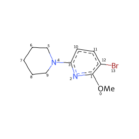 COc1nc(N2CCCCC2)ccc1Br